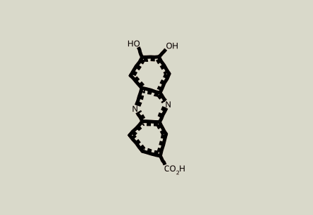 O=C(O)c1ccc2nc3cc(O)c(O)cc3nc2c1